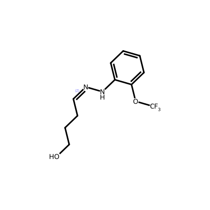 OCCC/C=N\Nc1ccccc1OC(F)(F)F